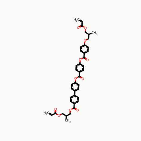 C=CC(=O)OCC(C)COC(=O)c1ccc(-c2ccc(OC(=O)c3ccc(OC(=O)c4ccc(OCC(C)COC(=O)C=C)cc4)cc3)cc2)cc1